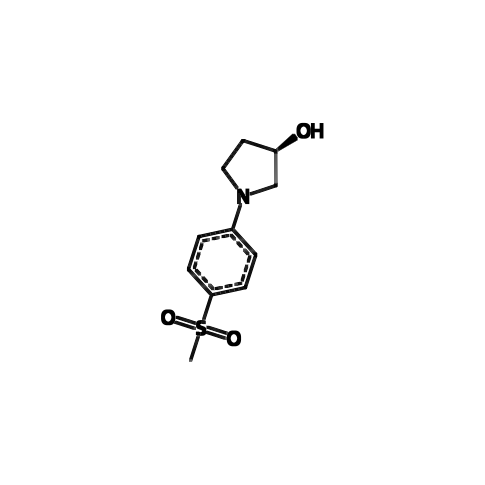 CS(=O)(=O)c1ccc(N2CC[C@@H](O)C2)cc1